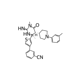 Cc1cccc(N2CCC([C@H]3C(=O)N(C)C(=N)N[C@]3(C)c3cc(-c4cccc(C#N)c4)cs3)CC2)c1